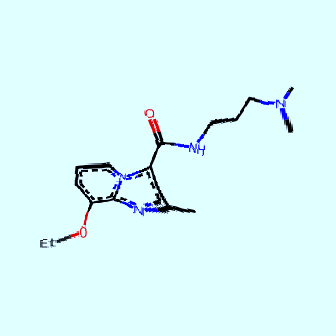 CCOc1cccn2c(C(=O)NCCCN(C)C)c(C)nc12